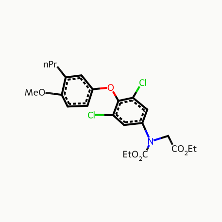 CCCc1cc(Oc2c(Cl)cc(N(CC(=O)OCC)C(=O)OCC)cc2Cl)ccc1OC